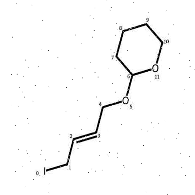 ICC=CCOC1CCCCO1